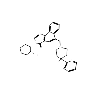 O=c1c2cc(CN3CCC(F)(c4ccccn4)CC3)c3ccccc3c2ncn1[C@H]1CCCC[C@@H]1O